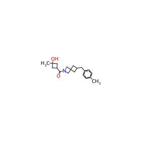 Cc1ccc(CC2CC3(C2)CN(C(=O)C2CC(C)(O)C2)C3)cc1